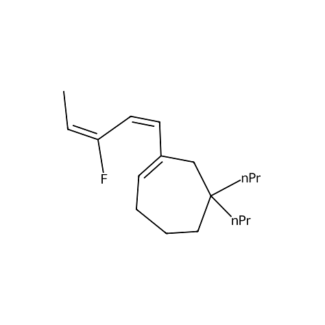 C/C=C(F)\C=C/C1=CCCCC(CCC)(CCC)C1